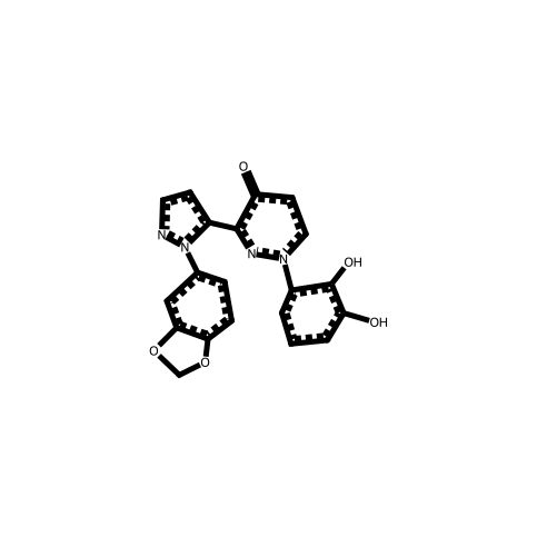 O=c1ccn(-c2cccc(O)c2O)nc1-c1ccnn1-c1ccc2c(c1)OCO2